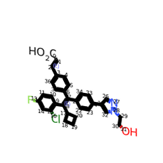 O=C(O)/C=C/c1ccc(/C(=C(\c2ccc(F)cc2Cl)C2CCC2)c2ccc(-c3cnn(CCO)c3)cc2)cc1